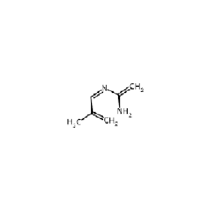 C=C(C)/C=N\C(=C)N